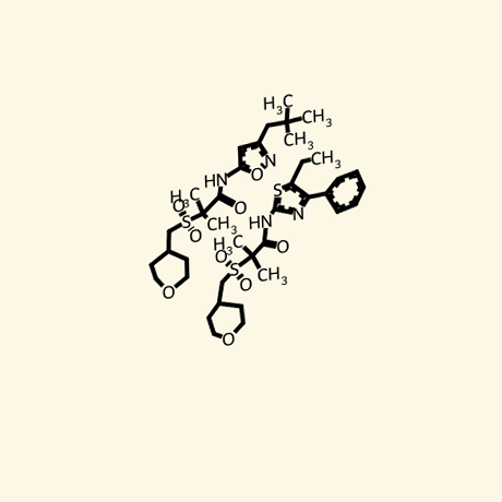 CC(C)(C)Cc1cc(NC(=O)C(C)(C)S(=O)(=O)CC2CCOCC2)on1.CCc1sc(NC(=O)C(C)(C)S(=O)(=O)CC2CCOCC2)nc1-c1ccccc1